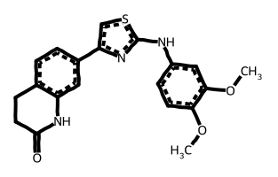 COc1ccc(Nc2nc(-c3ccc4c(c3)NC(=O)CC4)cs2)cc1OC